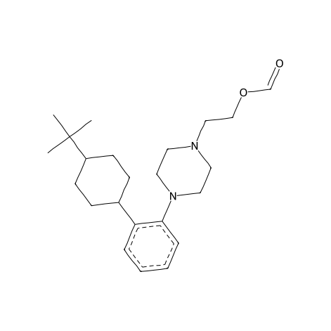 CC(C)(C)C1CCC(c2ccccc2N2CCN(CCOC=O)CC2)CC1